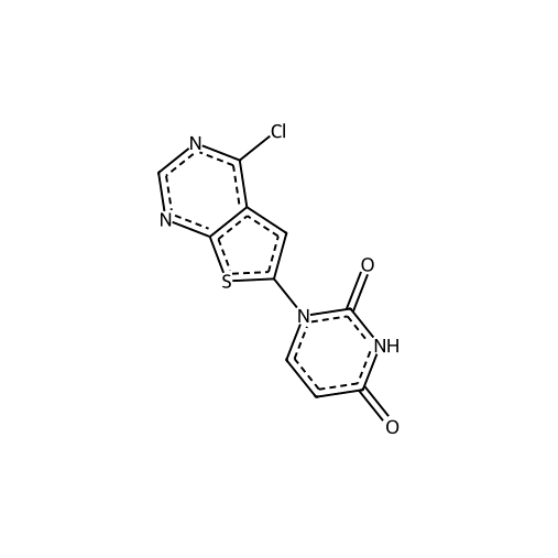 O=c1ccn(-c2cc3c(Cl)ncnc3s2)c(=O)[nH]1